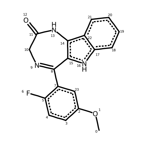 COc1ccc(F)c(C2=NCC(=O)Nc3c2[nH]c2ccccc32)c1